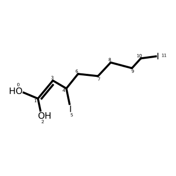 OC(O)=CC(I)CCCCCI